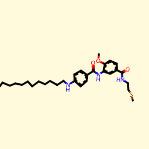 CCCCCCCCCCCCNc1ccc(C(=O)Nc2cc(C(=O)NCCSC)ccc2OC)cc1